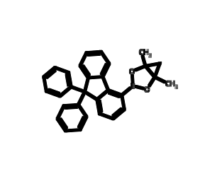 CC12CC1(C)OB(c1cccc3c1-c1ccccc1C3(c1ccccc1)c1ccccc1)O2